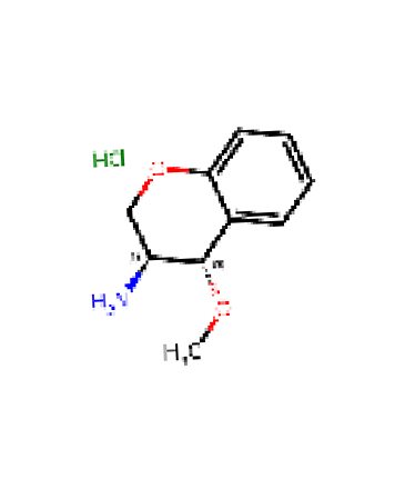 CO[C@H]1c2ccccc2OC[C@@H]1N.Cl